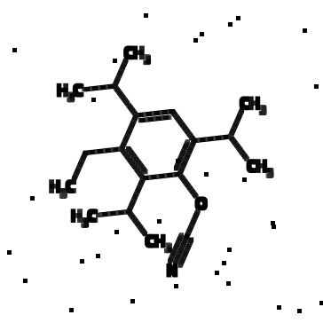 CCc1c(C(C)C)cc(C(C)C)c(OC#N)c1C(C)C